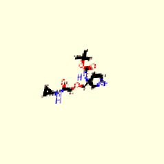 CC(C)(C)OC(=O)N[C@]1(COCC(=O)NC2CC2)CCNC1